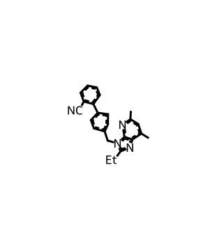 CCc1nc2c(C)cc(C)nc2n1Cc1ccc(-c2ccccc2C#N)cc1